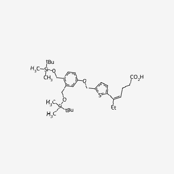 CC/C(=C/CCC(=O)O)c1ccc(COc2ccc(CO[Si](C)(C)C(C)(C)C)c(CO[Si](C)(C)C(C)(C)C)c2)s1